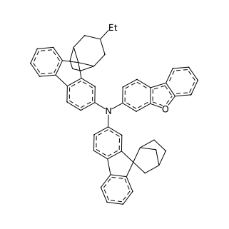 CCC1CC2CCCC(C1)C21c2ccccc2-c2ccc(N(c3ccc4c(c3)C3(CC5CCC3C5)c3ccccc3-4)c3ccc4c(c3)oc3ccccc34)cc21